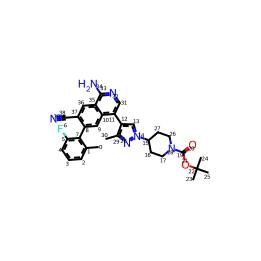 Cc1cccc(F)c1-c1cc2c(-c3cn(C4CCN(C(=O)OC(C)(C)C)CC4)nc3C)cnc(N)c2cc1C#N